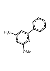 COc1nc(C)cc(-c2ccccc2)n1